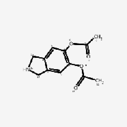 CC(=O)Oc1cc2c(cc1OC(C)=O)CNC2